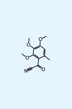 COc1cc(C)c(C(=O)C#N)c(OC)c1OC